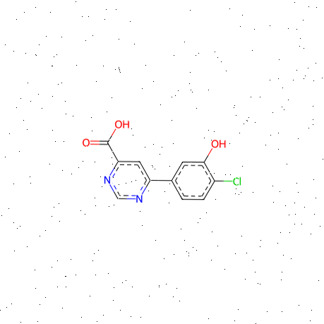 O=C(O)c1cc(-c2ccc(Cl)c(O)c2)ncn1